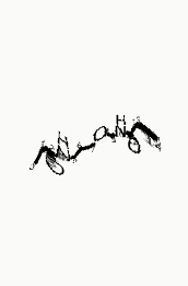 C=CC(=O)NCCCOCNC(=O)C=C